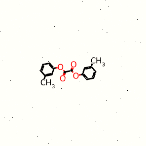 Cc1cccc(OC(=O)C(=O)Oc2cccc(C)c2)c1